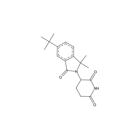 CC(C)(C)c1ccc2c(c1)C(=O)N(C1CCC(=O)NC1=O)C2(C)C